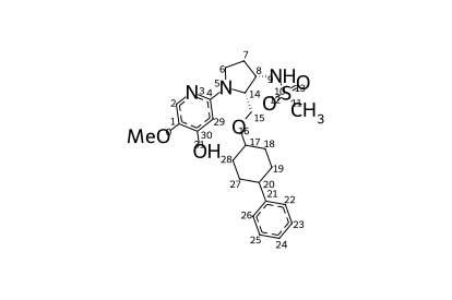 COc1cnc(N2CC[C@H](NS(C)(=O)=O)[C@@H]2COC2CCC(c3ccccc3)CC2)cc1O